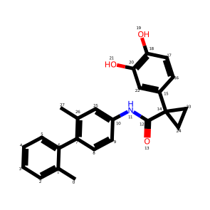 Cc1ccccc1-c1ccc(NC(=O)C2(c3ccc(O)c(O)c3)CC2)cc1C